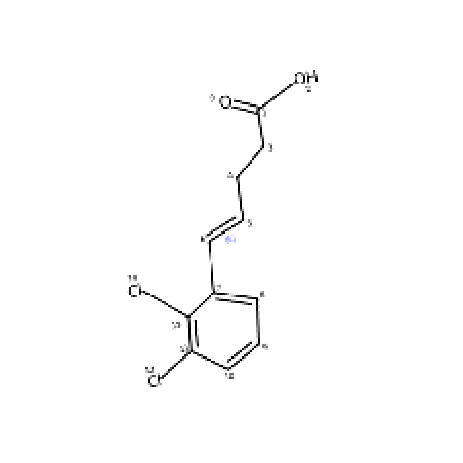 O=C(O)CC/C=C/c1cccc(Cl)c1Cl